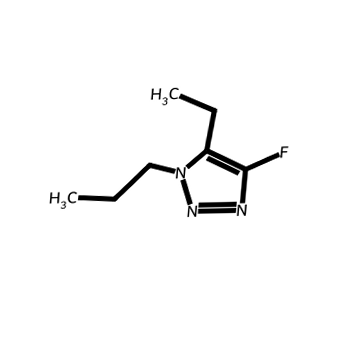 CCCn1nnc(F)c1CC